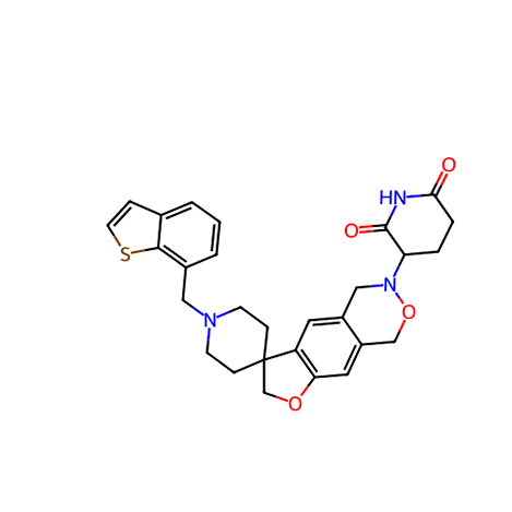 O=C1CCC(N2Cc3cc4c(cc3CO2)OCC42CCN(Cc3cccc4ccsc34)CC2)C(=O)N1